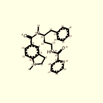 CN1CCc2cc(C(=O)N(C)[C@H](CCNC(=O)c3ccccn3)Cc3ccccc3)ccc21